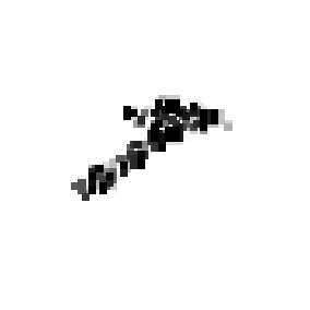 CC(C)Oc1ccc(S(N)(=O)=O)cc1Nc1nc(-c2ccc(N3CCN(S(C)(=O)=O)CC3)nc2)cs1